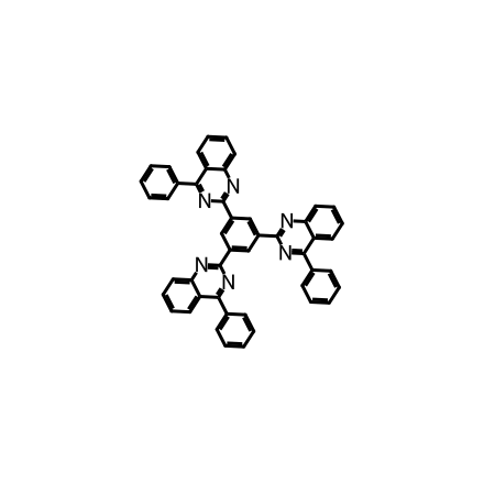 c1ccc(-c2nc(-c3cc(-c4nc(-c5ccccc5)c5ccccc5n4)cc(-c4nc(-c5ccccc5)c5ccccc5n4)c3)nc3ccccc23)cc1